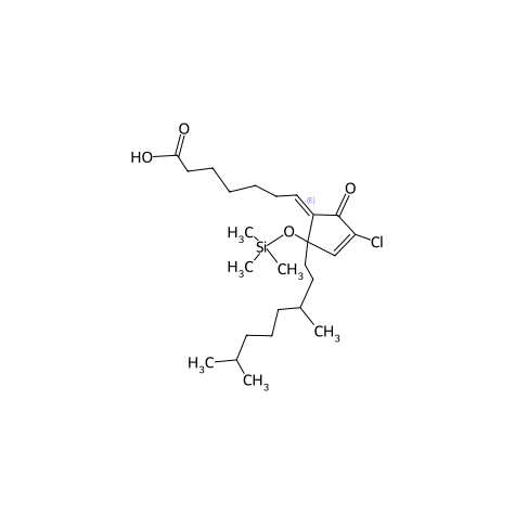 CC(C)CCCC(C)CCC1(O[Si](C)(C)C)C=C(Cl)C(=O)/C1=C/CCCCCC(=O)O